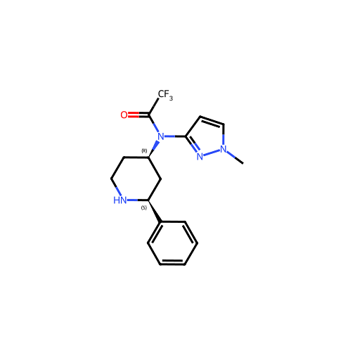 Cn1ccc(N(C(=O)C(F)(F)F)[C@@H]2CCN[C@H](c3ccccc3)C2)n1